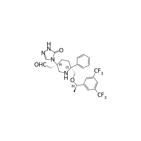 C[C@@H](OC[C@@]1(c2ccccc2)CC[C@](CC=O)(n2cn[nH]c2=O)CN1)c1cc(C(F)(F)F)cc(C(F)(F)F)c1